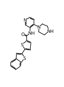 O=C(Nc1cnccc1N1CCNCC1)c1ccc(-c2cc3ccccc3s2)s1